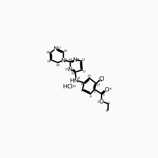 CCOC(=O)c1ccc(Nc2ccnc(N3C=NC=CC3)n2)cc1Cl.Cl